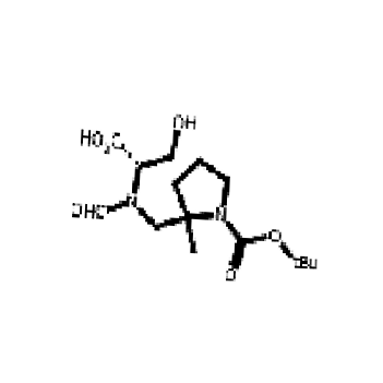 CC(C)(C)OC(=O)N1CCCC1(C)CN(C=O)[C@@H](CO)C(=O)O